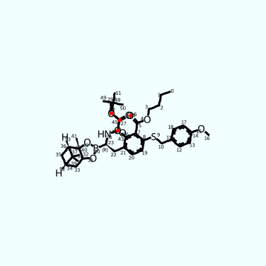 CCCCOC(=O)c1c(SCc2ccc(OC)cc2)ccc(C[C@H](NC(=O)CSC)B2OC3C[C@@H]4C[C@@H](C4(C)C)[C@]3(C)O2)c1OC(=O)OC(C)(C)C